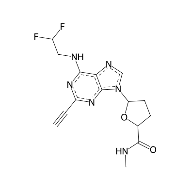 C#Cc1nc(NCC(F)F)c2ncn(C3CCC(C(=O)NC)O3)c2n1